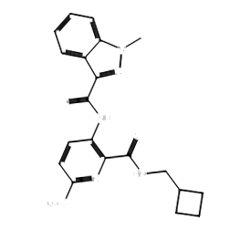 COc1ccc(NC(=O)c2nn(C)c3ccccc23)c(C(=O)NCC2CCC2)n1